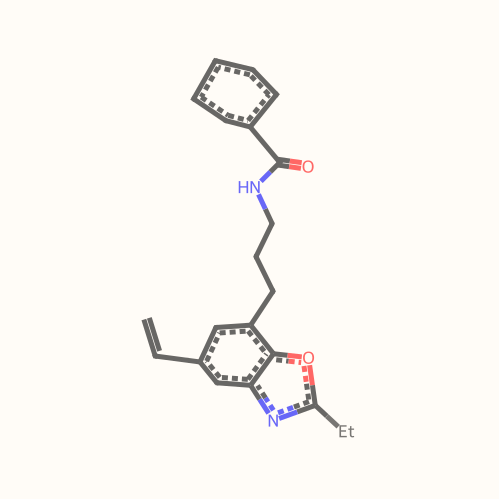 C=Cc1cc(CCCNC(=O)c2ccccc2)c2oc(CC)nc2c1